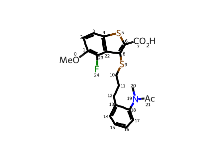 COc1ccc2sc(C(=O)O)c(SCCCc3ccccc3N(C)C(C)=O)c2c1F